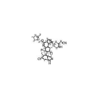 Cc1c(Cl)cc2[nH]ncc2c1-c1c(Cl)cc2c(nc(OC[C@@H]3CCCN3C)c3cnn([C@H]4CCN[C@H](CC#N)C4)c32)c1F